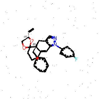 C=C[C@H]1COC2(CCCC3=Cc4c(cnn4-c4ccc(F)cc4)C[C@]32Cc2ccccc2)O1